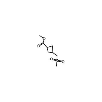 COC(=O)C1CC(CS(C)(=O)=O)C1